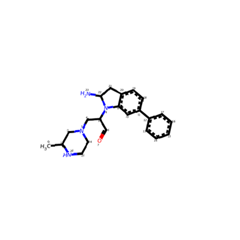 CC1CN(CC(C=O)N2c3cc(-c4ccccc4)ccc3CC2N)CCN1